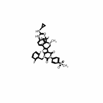 CN(Cc1c(-c2ccc(NC(=O)NC3CC3)cc2)sc2c1c(=O)n(-c1ccc(S(C)(=O)=O)cc1)c(=O)n2Cc1c(F)cccc1F)C(=O)C(F)(F)F